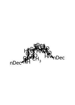 CCCCCCCCCCCCNC(=O)CN(CCNC(=O)CCN(C)CCN(C)CCC(=O)N(C)CCN(CC(=O)NCCCCCCCCCCCC)CC(=O)OCCCCCCCCCCCC)CC(=O)OCCCCCCCCCCCC